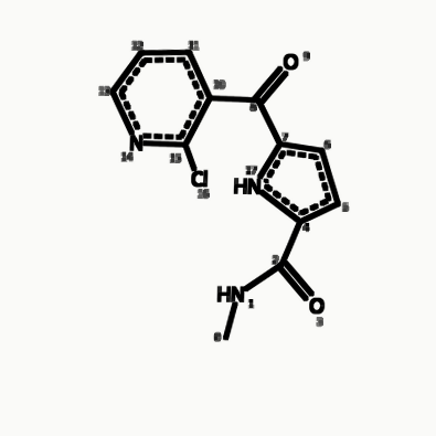 CNC(=O)c1ccc(C(=O)c2cccnc2Cl)[nH]1